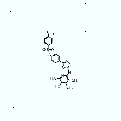 Cc1ccc(S(=O)(=O)Oc2ccc(-c3nnc(Nc4nc(C)c(O)c(C)c4C)o3)cc2)cc1